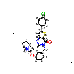 CN1C2CCC1CC(Oc1cccc(Cn3cnc4cc(-c5ccc(Cl)cc5)sc4c3=O)c1)C2